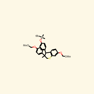 COCOc1ccc(C2(C)CSc3cc(OCOC)ccc3C2c2ccc(O[Si](C)(C)C(C)(C)C)cc2)cc1